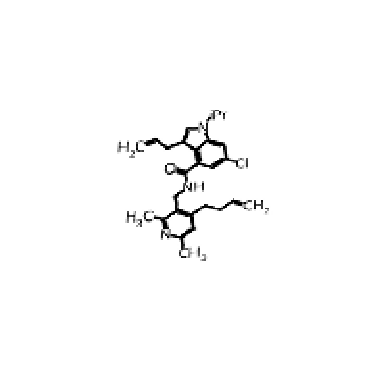 C=CCCc1cc(C)nc(C)c1CNC(=O)c1cc(Cl)cc2c1c(CC=C)cn2C(C)C